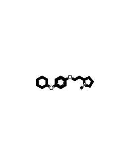 CN1CCCC1CCOc1ccc(OC2CCCCC2)cc1